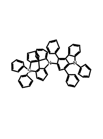 c1ccc(-c2c(-n3c4ccccc4c4c([Si](c5ccccc5)(c5ccccc5)c5ccccc5)cccc43)cc(-c3ccccc3)c3c2c2ccccc2n3-c2ccccc2)cc1